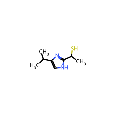 CC(C)c1c[nH]c(C(C)S)n1